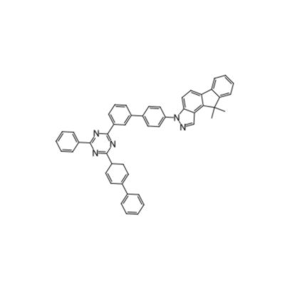 CC1(C)c2ccccc2-c2ccc3c(cnn3-c3ccc(-c4cccc(-c5nc(-c6ccccc6)nc(C6C=CC(c7ccccc7)=CC6)n5)c4)cc3)c21